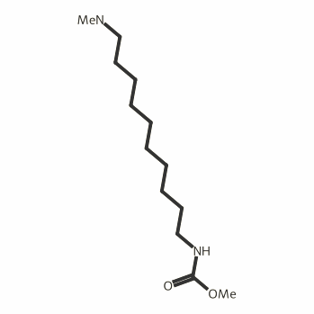 CNCCCCCCCCCCNC(=O)OC